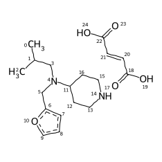 CC(C)CN(Cc1ccco1)C1CCNCC1.O=C(O)C=CC(=O)O